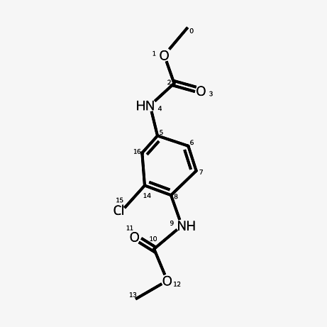 COC(=O)Nc1ccc(NC(=O)OC)c(Cl)c1